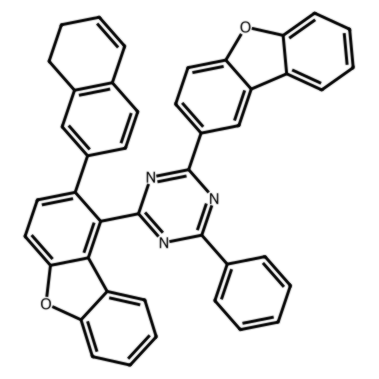 C1=Cc2ccc(-c3ccc4oc5ccccc5c4c3-c3nc(-c4ccccc4)nc(-c4ccc5oc6ccccc6c5c4)n3)cc2CC1